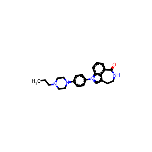 CCCN1CCN(c2ccc(-n3cc4c5c(cccc53)C(=O)NCC4)cc2)CC1